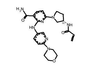 C=CC(=O)N[C@H]1CCN(c2ccc(C(N)=O)c(Nc3ccc(N4CCOCC4)nc3)n2)C1